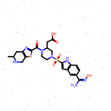 CC1Cc2nc(C(=O)N3CCN(S(=O)(=O)c4cc5cc(/C(N)=N\O)ccc5[nH]4)CC3CC(=O)O)sc2CN1